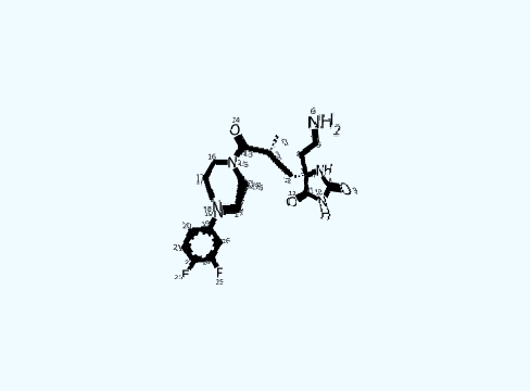 C[C@H](C[C@]1(CCN)NC(=O)NC1=O)C(=O)N1CCN(c2ccc(F)c(F)c2)CC1